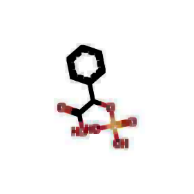 O=C(O)C(OP(=O)(O)O)c1ccccc1